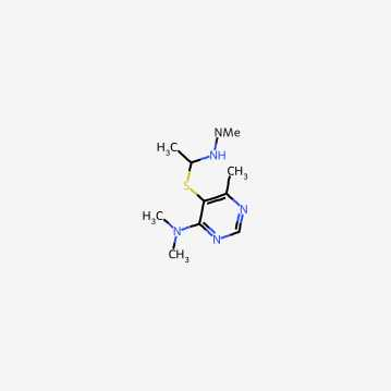 CNNC(C)Sc1c(C)ncnc1N(C)C